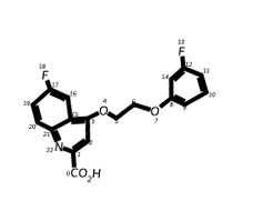 O=C(O)c1cc(OCCOc2cccc(F)c2)c2cc(F)ccc2n1